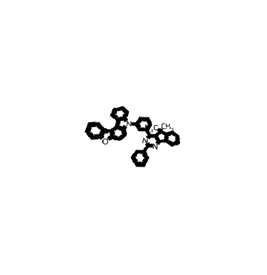 CC1(C)c2ccccc2-c2nc(-c3ccccc3)nc(-c3cccc(-n4c5ccccc5c5c6c(ccc54)oc4ccccc46)c3)c21